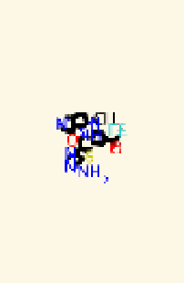 CN(c1cccc(C(=O)C(F)(F)F)c1)c1ccc2cnccc2c1NC(=O)c1csc2c(N)ncnc12